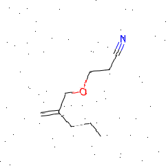 C=C(CCC)COCCC#N